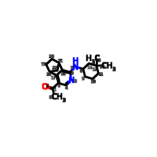 CC(=O)c1cnc(NC2CCCC(C)(C)C2)c2c1C1CCC2C1